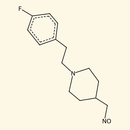 O=NCC1CCN(CCc2ccc(F)cc2)CC1